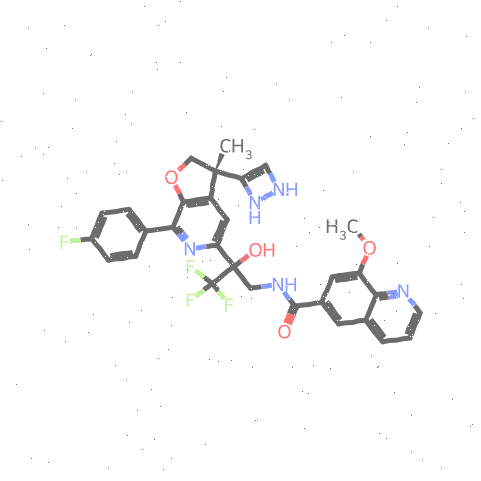 COc1cc(C(=O)NCC(O)(c2cc3c(c(-c4ccc(F)cc4)n2)OC[C@]3(C)c2c[nH][nH]2)C(F)(F)F)cc2cccnc12